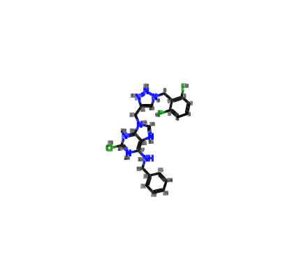 Fc1cccc(F)c1Cn1cc(Cn2cnc3c(NCc4ccccc4)nc(Cl)nc32)nn1